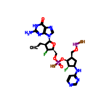 Nc1nc2c(ncn2[C@@H]2O[C@H](COP(=O)(S)O[C@@H]3[C@@H](COPS)C[C@@H](Nc4ccncn4)[C@@H]3F)[C@@H](F)[C@H]2CC=O)c(=O)[nH]1